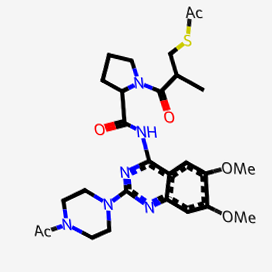 COc1cc2nc(N3CCN(C(C)=O)CC3)nc(NC(=O)C3CCCN3C(=O)C(C)CSC(C)=O)c2cc1OC